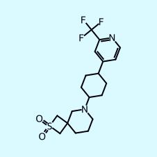 O=S1(=O)CC2(CCCN(C3CCC(c4ccnc(C(F)(F)F)c4)CC3)C2)C1